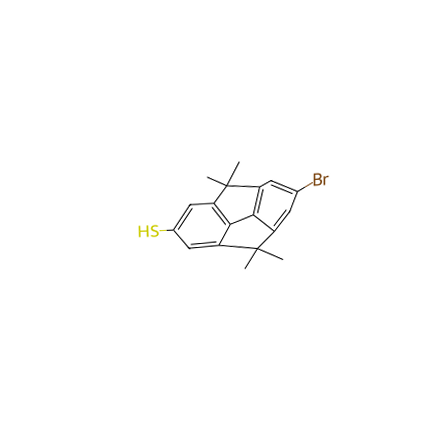 CC1(C)c2cc(S)cc3c2-c2c1cc(Br)cc2C3(C)C